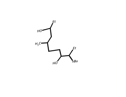 CCCCC(CC)C(O)CCC(C)CC(O)CC